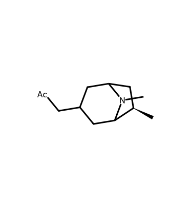 CC(=O)CC1CC2C[C@@H](C)C(C1)N2C